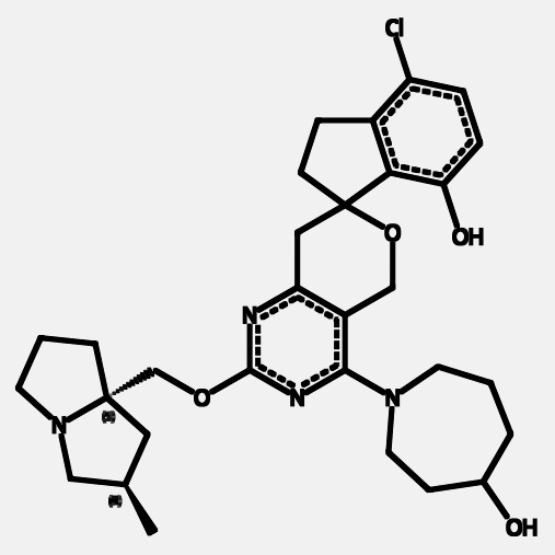 C[C@H]1CN2CCC[C@@]2(COc2nc3c(c(N4CCCC(O)CC4)n2)COC2(CCc4c(Cl)ccc(O)c42)C3)C1